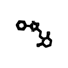 O=C1CCCC(=O)N1CCc1nc(-c2ccccc2)no1